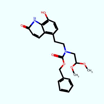 COC(CN(CCc1ccc(O)c2[nH]c(=O)ccc12)C(=O)OCc1ccccc1)OC